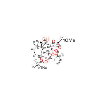 C=C[C@@]1(C)CC(=O)[C@]2(O)[C@@]3(C)[C@@H](O[Si](C)(C)C(C)(C)C)CCC(C)(C)[C@@H]3[C@H](O)[C@H](OC(=O)COC)[C@@]2(C)O1